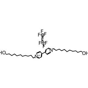 F[B-](F)(F)F.F[B-](F)(F)F.OCCCCCCCCCCC[n+]1ccc(-c2cc[n+](CCCCCCCCCCCO)cc2)cc1